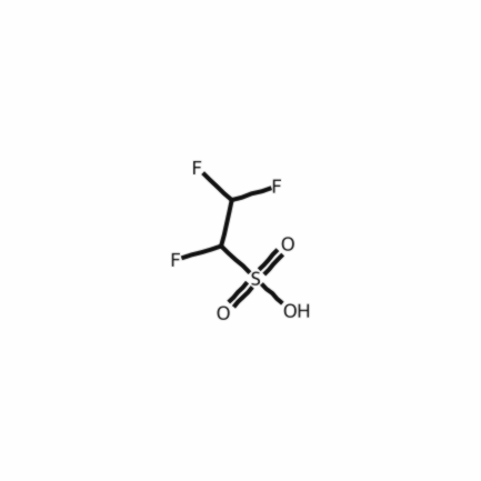 O=S(=O)(O)C(F)C(F)F